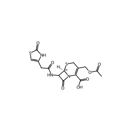 CC(=O)OCC1=C(C(=O)O)N2C(=O)C(NC(=O)Cc3csc(=O)[nH]3)[C@H]2SC1